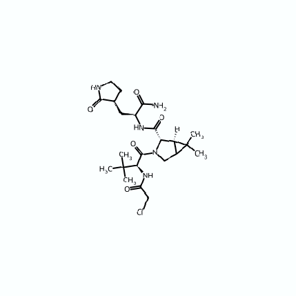 CC(C)(C)[C@H](NC(=O)CCl)C(=O)N1CC2[C@@H]([C@H]1C(=O)N[C@@H](C[C@@H]1CCNC1=O)C(N)=O)C2(C)C